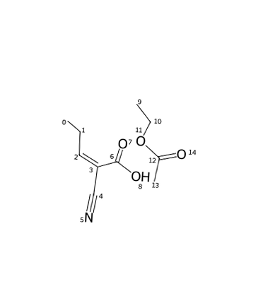 CCC=C(C#N)C(=O)O.CCOC(C)=O